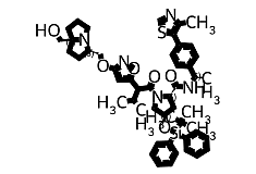 Cc1ncsc1-c1ccc([C@H](C)NC(=O)[C@@H]2C[C@@H](O[Si](c3ccccc3)(c3ccccc3)C(C)(C)C)CN2C(=O)C(c2cc(OC[C@@H]3CC[C@]4(CO)CCCN34)no2)C(C)C)cc1